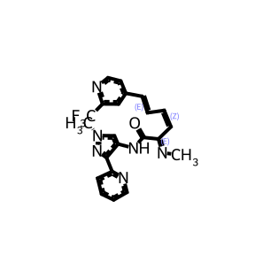 C\N=C(/C=C\C=C\c1ccnc(C(F)(F)F)c1)C(=O)Nc1cn(C)nc1-c1ccccn1